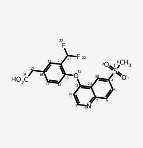 CS(=O)(=O)c1ccc2nccc(Oc3ccc(CC(=O)O)cc3C(F)F)c2c1